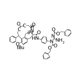 CC(C)Cc1c2ccc(OC(C)(C)C)c1C(c1ccccc1)CCC(=O)CCC(=O)NC(C(=O)Nc1ccc(N(C(=O)OCc3ccccc3)C(N)=NC(=O)OCc3ccccc3)cc1)C2